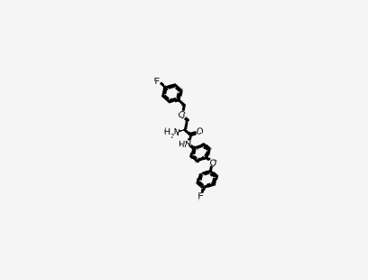 N[C@@H](COCc1ccc(F)cc1)C(=O)Nc1ccc(Oc2ccc(F)cc2)cc1